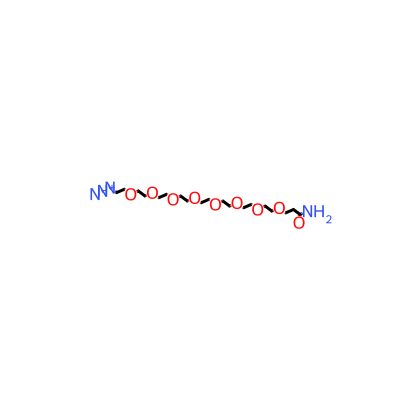 [N-]=[N+]=NCCOCCOCCOCCOCCOCCOCCOCCOCCC(N)=O